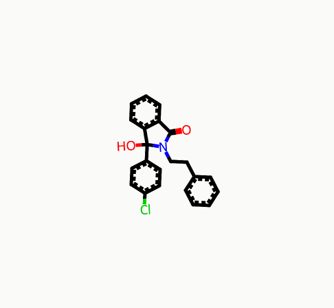 O=C1c2ccccc2C(O)(c2ccc(Cl)cc2)N1CCc1ccccc1